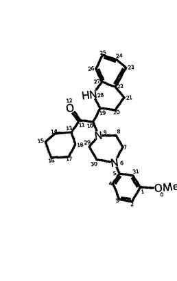 COc1cccc(N2CCN(C(C(=O)C3CCCCC3)C3CCc4ccccc4N3)CC2)c1